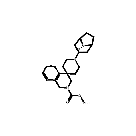 CCCCOC(=O)N1CC2=C(CCC=C2)C2(CCN(C3CC4CCC(C3)N4C=O)CC2)C1